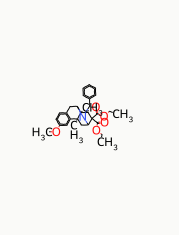 CCOC(=O)C1(C(=O)OCC)CC2(C)C3Cc4ccc(OC)cc4C2(C)CC1N3Cc1ccccc1